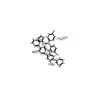 Cc1ccc([Si](c2ccc(C)cc2)=[Zr]([C]2=CC=CC2)[c]2c3c(cc(C(C)(C)C)c2-c2ccccc2)-c2cc(C(C)(C)C)c(-c4ccccc4)cc2C3)cc1.Cl.Cl